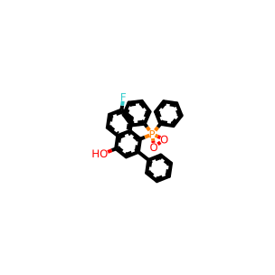 Oc1cc(-c2ccccc2)c(P2(c3ccccc3)(c3ccccc3)OO2)c2cc(F)ccc12